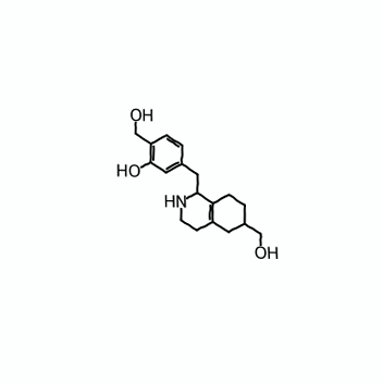 OCc1ccc(CC2NCCC3=C2CCC(CO)C3)cc1O